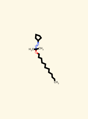 CCCCCCCCCCCCOC(C)(C)N=NC1CCCC1